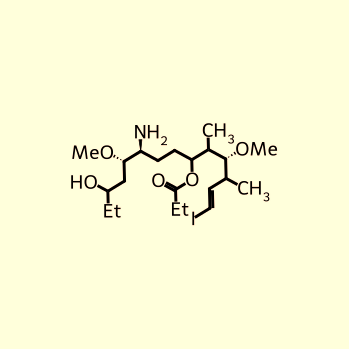 CCC(=O)OC(CC[C@H](N)[C@H](CC(O)CC)OC)C(C)[C@H](OC)C(C)/C=C/I